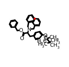 CC(C)(C)[Si](C)(C)Oc1ccc(CC(C(=O)OCc2ccccc2)N(Cc2ccccc2)Cc2ccccc2)cc1